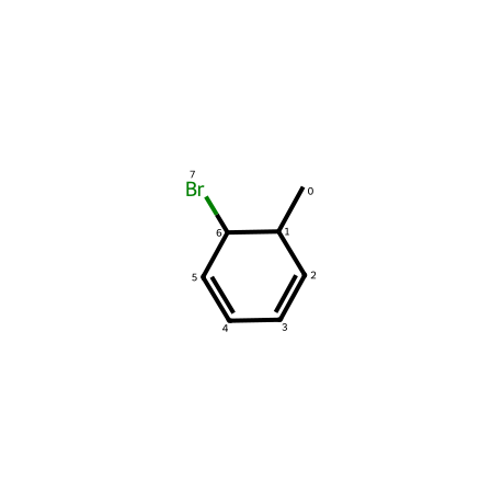 CC1C=CC=CC1Br